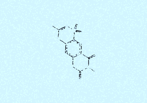 CC1=NS(=O)(=O)c2cc3c(cc2N1)CC(=O)N(C)C3=O